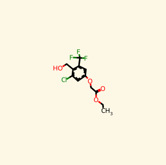 CCOC(=O)COc1cc(Cl)c(CO)c(C(F)(F)F)c1